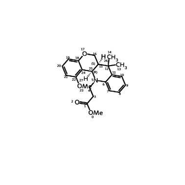 COC(=O)CCN1c2ccccc2C(C)(C)[C@@H]2COc3cccc(OC)c3[C@@H]21